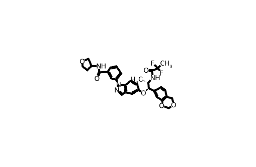 C[C@H](NC(=O)C(C)(F)F)[C@H](Oc1ccc2c(cnn2-c2cccc(C(=O)NC3CCOC3)c2)c1)c1ccc2c(c1)OCOC2